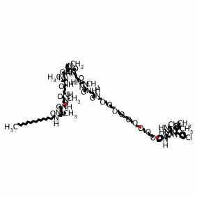 CCCCCCCCCCCCCCCC(=O)Nc1cn(C)c(C(=O)Nc2cc(C(=O)NCCC(=O)Nc3cn(C)c(C(=O)Nc4ccn(C)c4C(=O)NCCC(=O)Nc4cn(C)c(C(=O)NCCC(=O)NCCOCCOCCOCCOCCOCCOCCOCCOCCOc5ccc(NC(=O)C[C@@H]6N=C(c7ccc(Cl)cc7)c7c(sc(C)c7C)N(C(C)=N)C6=N)cc5)n4)n3)n(C)c2)n1